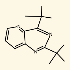 CC(C)(C)c1nc(C(C)(C)C)c2ncccc2n1